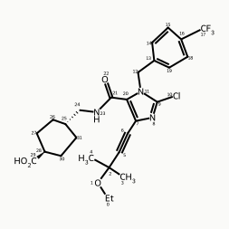 CCOC(C)(C)C#Cc1nc(Cl)n(Cc2ccc(C(F)(F)F)cc2)c1C(=O)NC[C@H]1CC[C@H](C(=O)O)CC1